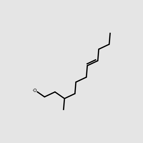 CCCC=CCCCC(C)CC[O]